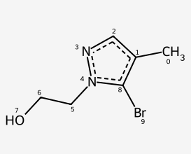 Cc1cnn(CCO)c1Br